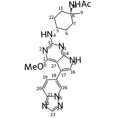 COc1nc(N[C@H]2CC[C@](C)(NC(C)=O)CC2)nc2[nH]cc(-c3ccc4ncnn4c3)c12